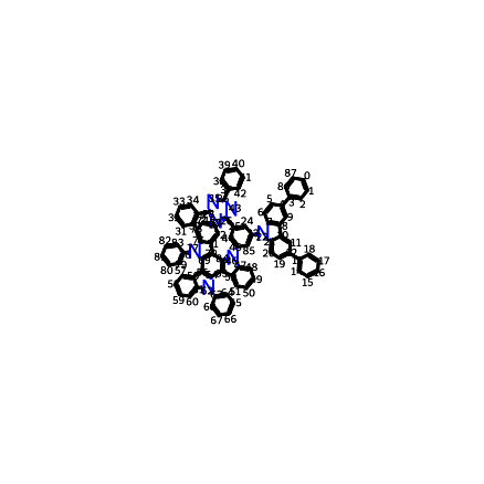 c1ccc(-c2ccc3c(c2)c2cc(-c4ccccc4)ccc2n3-c2cc(-c3nc(-c4ccccc4)nc(-c4ccccc4)n3)cc(-n3c4ccccc4c4c5c(c6ccccc6n5-c5ccccc5)c5c(c6ccccc6n5-c5ccccc5)c43)c2)cc1